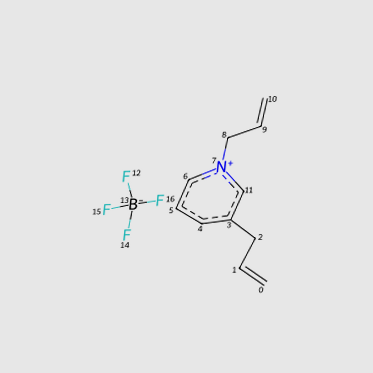 C=CCc1ccc[n+](CC=C)c1.F[B-](F)(F)F